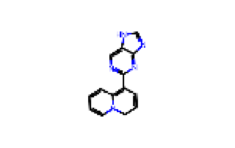 [c]1nc2nc(C3=C4C=CC=CN4CC=C3)ncc2[nH]1